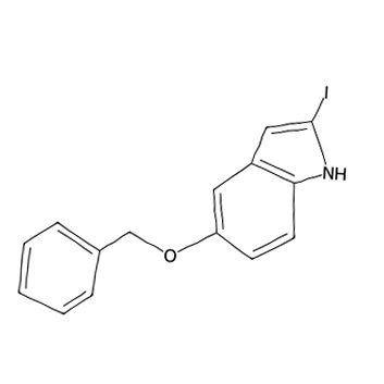 Ic1cc2cc(OCc3ccccc3)ccc2[nH]1